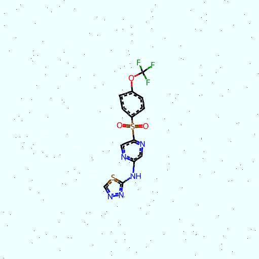 O=S(=O)(c1ccc(OC(F)(F)F)cc1)c1cnc(Nc2nncs2)cn1